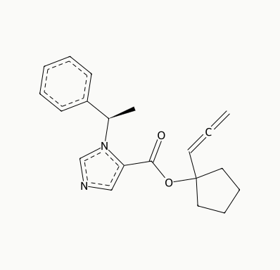 C=C=CC1(OC(=O)c2cncn2[C@H](C)c2ccccc2)CCCC1